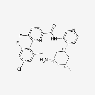 C[C@@H]1C[C@H](N)C[C@H](c2ccncc2NC(=O)c2ccc(F)c(-c3c(F)cc(Cl)cc3F)n2)C1